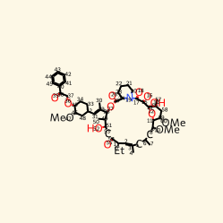 CCC1/C=C(\C)CC(C)CC(OC)C2OC(O)(C(=O)C(=O)N3CCCCC3C(=O)OC(C(C)=CC3CCC(OCC(=O)c4ccccc4)C(OC)C3)C(C)C(O)CC1=O)C(C)CC2OC